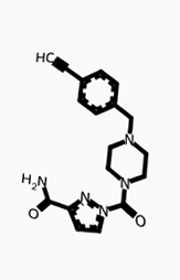 C#Cc1ccc(CN2CCN(C(=O)n3ccc(C(N)=O)n3)CC2)cc1